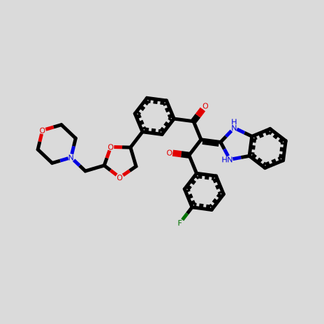 O=C(C(C(=O)c1cccc(C2COC(CN3CCOCC3)O2)c1)=C1Nc2ccccc2N1)c1cccc(F)c1